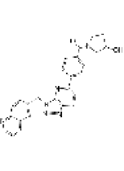 O=C(c1ccc(-c2ccc3nnn(Cc4ccc5ncccc5c4)c3n2)cc1)N1CCC(O)C1